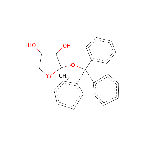 CC1(OC(c2ccccc2)(c2ccccc2)c2ccccc2)OCC(O)C1O